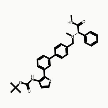 CNC(=O)[C@H](c1ccccc1)N(C)Cc1ccc(-c2cccc(-c3sccc3NC(=O)OC(C)(C)C)c2)cc1